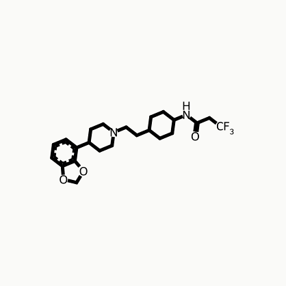 O=C(CC(F)(F)F)NC1CCC(CCN2CCC(c3cccc4c3OCO4)CC2)CC1